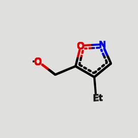 CCc1cnoc1C[O]